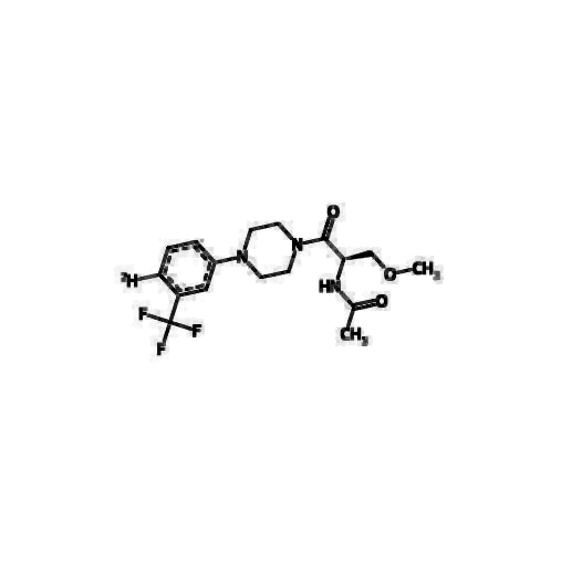 [2H]c1ccc(N2CCN(C(=O)[C@@H](COC)NC(C)=O)CC2)cc1C(F)(F)F